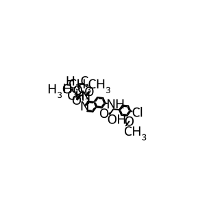 CCOc1cc(C(Nc2ccc3c(N(OC(C)(C)C)C(=O)OC(C)(C)C)nccc3c2)C(=O)O)ccc1Cl